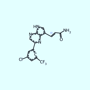 NC(=O)/C=C/c1c[nH]c2ncc(-c3cc(Cl)cc(C(F)(F)F)c3)nc12